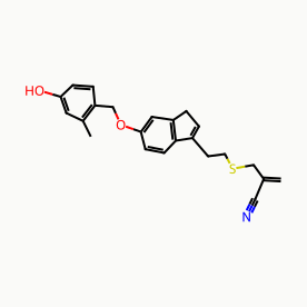 C=C(C#N)CSCCC1=CCc2cc(OCc3ccc(O)cc3C)ccc21